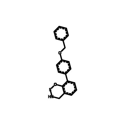 c1ccc(COc2ccc(-c3cccc4c3OSNC4)cc2)cc1